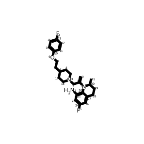 C=C(CN1CCC(CCOc2ccc(F)cc2)CC1)N1c2c(N)cc(F)cc2CCC1C